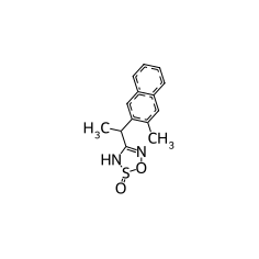 Cc1cc2ccccc2cc1C(C)C1=NOS(=O)N1